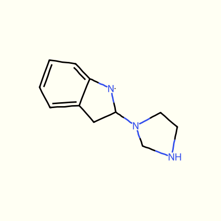 c1ccc2c(c1)CC(N1CCNC1)[N]2